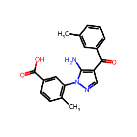 Cc1cccc(C(=O)c2cnn(-c3cc(C(=O)O)ccc3C)c2N)c1